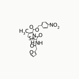 CC1=C(C(=O)OCc2ccc([N+](=O)[O-])cc2)N2C(=O)C(NC(=O)Cc3ccco3)[C@H]2SC1